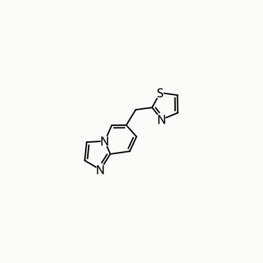 c1csc(Cc2ccc3nccn3c2)n1